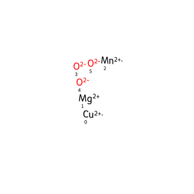 [Cu+2].[Mg+2].[Mn+2].[O-2].[O-2].[O-2]